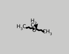 C=C1C=C1.CCCCCOCCCCC